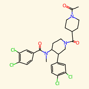 CC(=O)N1CCC(C(=O)N2CCC(N(C)C(=O)c3ccc(Cl)c(Cl)c3)C(c3ccc(Cl)c(Cl)c3)C2)CC1